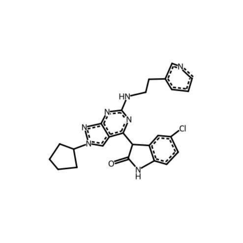 O=C1Nc2ccc(Cl)cc2C1c1nc(NCCc2cccnc2)nc2nn(C3CCCC3)cc12